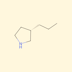 CCC[C@H]1CCNC1